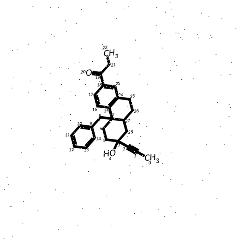 CC#CC1(O)CCC2(Cc3ccccc3)c3ccc(C(=O)CC)cc3CCC2C1